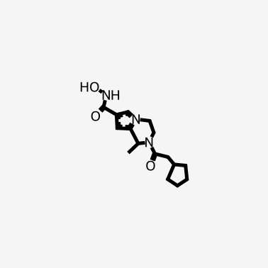 CC1c2cc(C(=O)NO)cn2CCN1C(=O)CC1CCCC1